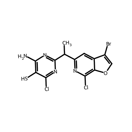 CC(c1cc2c(Br)coc2c(Cl)n1)c1nc(N)c(S)c(Cl)n1